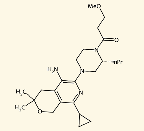 CCC[C@@H]1CN(c2nc(C3CC3)c3c(c2N)CC(C)(C)OC3)CCN1C(=O)CCOC